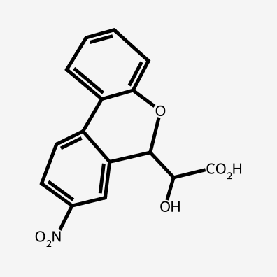 O=C(O)C(O)C1Oc2ccccc2-c2ccc([N+](=O)[O-])cc21